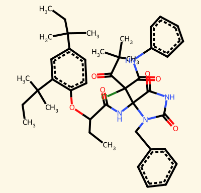 CCC(Oc1ccc(C(C)(C)CC)cc1C(C)(C)CC)C(=O)NC1(C(Cl)(C(=O)Nc2ccccc2)C(=O)C(C)(C)C)C(=O)NC(=O)N1Cc1ccccc1